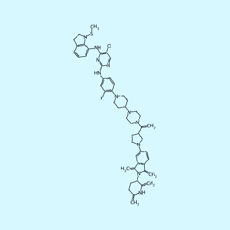 C=C1CCC(n2c(=C)c3ccc(N4CCC(C(=C)N5CCN(C6CCN(c7ccc(Nc8ncc(Cl)c(Nc9cccc%10c9N(SC)CC%10)n8)cc7F)CC6)CC5)C4)cc3c2=C)C(=C)N1